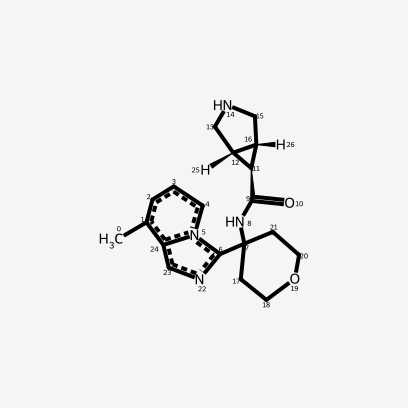 Cc1cccn2c(C3(NC(=O)[C@H]4[C@@H]5CNC[C@@H]54)CCOCC3)ncc12